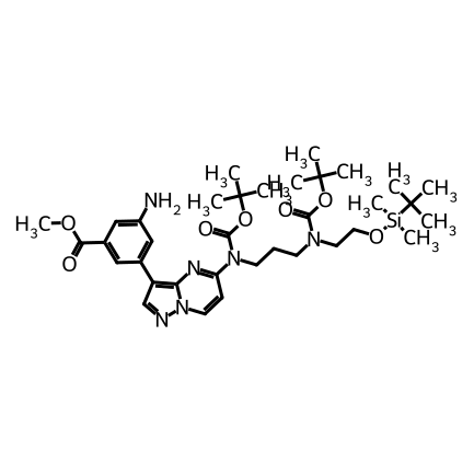 COC(=O)c1cc(N)cc(-c2cnn3ccc(N(CCCN(CCO[Si](C)(C)C(C)(C)C)C(=O)OC(C)(C)C)C(=O)OC(C)(C)C)nc23)c1